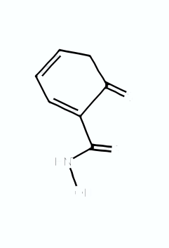 ONC(=S)C1=CC=CCC1=S